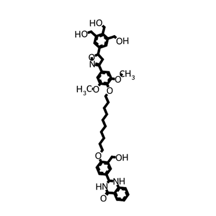 COc1cc(C2=NOC(c3cc(CO)c(CO)c(CO)c3)C2)cc(OC)c1OCCCCCCCCCCOc1ccc(C2NC(=O)c3ccccc3N2)cc1CO